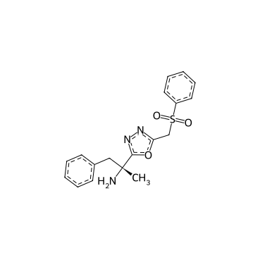 C[C@@](N)(Cc1ccccc1)c1nnc(CS(=O)(=O)c2ccccc2)o1